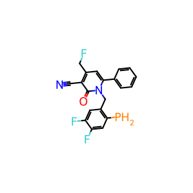 N#Cc1c(CF)cc(-c2ccccc2)n(Cc2cc(F)c(F)cc2P)c1=O